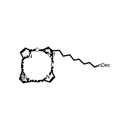 CCCCCCCCCCCCCCCCCCc1cc2cc3nc(cc4ccc(cc5nc(cc1[nH]2)C=C5)[nH]4)C=C3